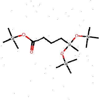 C[Si](C)(C)OC(=O)CCC[Si](C)(O[Si](C)(C)C)O[Si](C)(C)C